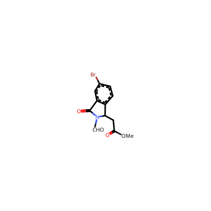 COC(=O)CC1c2ccc(Br)cc2C(=O)N1C=O